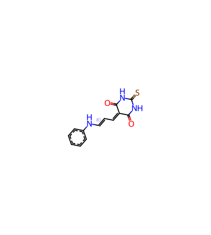 O=C1NC(=S)NC(=O)C1=C/C=C/Nc1ccccc1